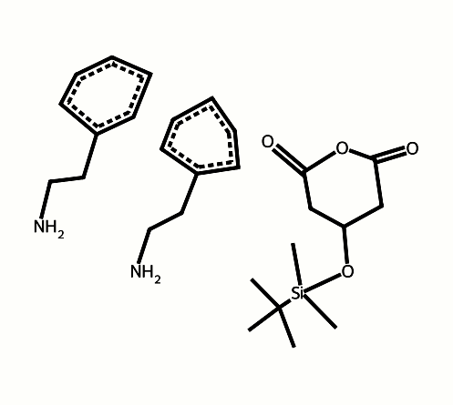 CC(C)(C)[Si](C)(C)OC1CC(=O)OC(=O)C1.NCCc1ccccc1.NCCc1ccccc1